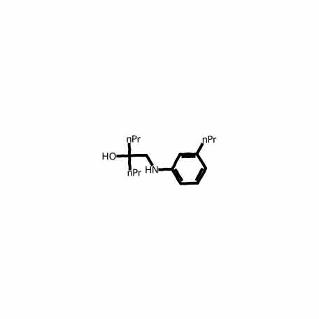 C[CH]Cc1cccc(NCC(O)(CCC)CCC)c1